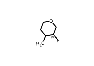 CC1CCOC[C@H]1F